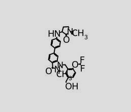 CN1CCC(Nc2ccc(-c3ccc4c(=O)n(C)n(Cc5cc(CO)ccc5OC(F)F)c4c3)cc2)C1=O